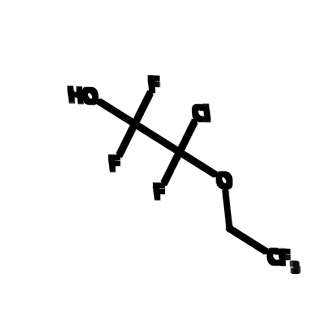 OC(F)(F)C(F)(Cl)OCC(F)(F)F